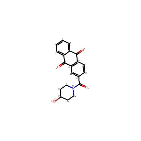 O=C1c2ccccc2C(=O)c2cc(C(=O)N3CCC(O)CC3)ccc21